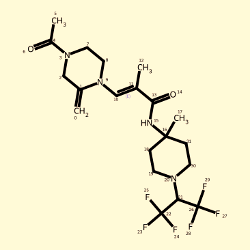 C=C1CN(C(C)=O)CCN1/C=C(\C)C(=O)NC1(C)CCN(C(C(F)(F)F)C(F)(F)F)CC1